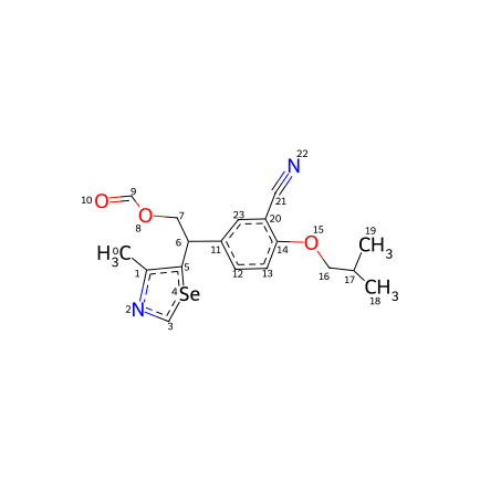 Cc1nc[se]c1C(COC=O)c1ccc(OCC(C)C)c(C#N)c1